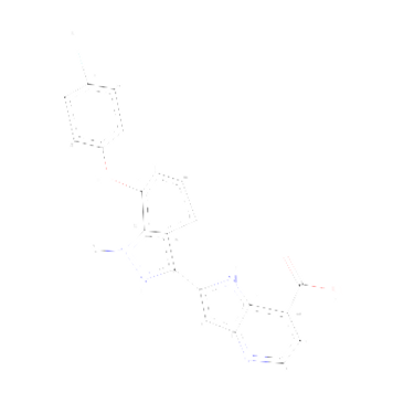 Cn1nc(-c2cc3nccc(C(=O)O)c3[nH]2)c2cccc(Oc3ccc(F)cc3)c21